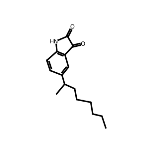 CCCCCCC(C)c1ccc2c(c1)C(=O)C(=O)N2